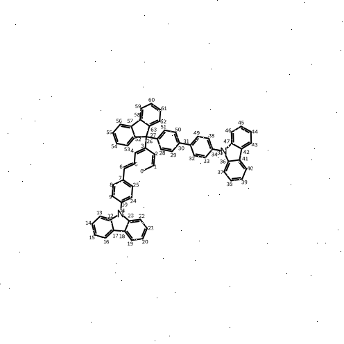 C\C=C/C(=C\C=C\c1ccc(-n2c3ccccc3c3ccccc32)cc1)C1(c2ccc(-c3ccc(-n4c5ccccc5c5ccccc54)cc3)cc2)c2ccccc2-c2ccccc21